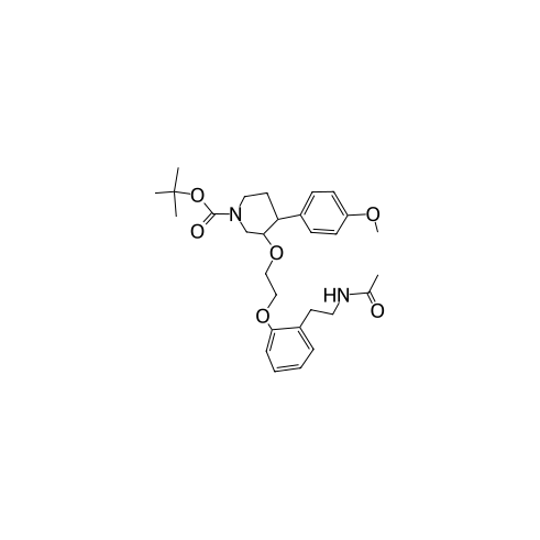 COc1ccc(C2CCN(C(=O)OC(C)(C)C)CC2OCCOc2ccccc2CCNC(C)=O)cc1